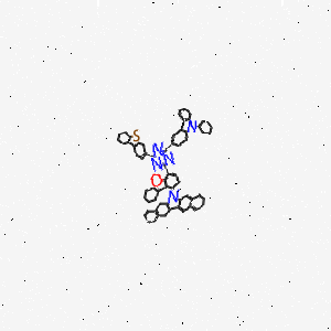 c1ccc(-n2c3ccccc3c3cc(-c4nc(-c5ccc6c(c5)sc5ccccc56)nc(-c5ccc(-n6c7cc8ccccc8cc7c7cc8ccccc8cc76)c6c5oc5ccccc56)n4)ccc32)cc1